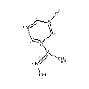 C/C(=N\O)c1cncc(Cl)c1